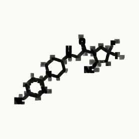 N#Cc1ccc(N2CCC(NCC(=O)N3CC(F)(F)C[C@H]3C#N)CC2)nc1